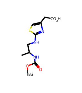 CC(CNc1nc(CC(=O)O)cs1)NC(=O)OC(C)(C)C